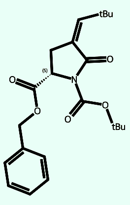 CC(C)(C)C=C1C[C@@H](C(=O)OCc2ccccc2)N(C(=O)OC(C)(C)C)C1=O